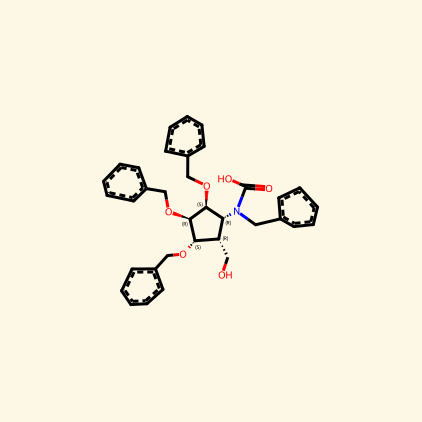 O=C(O)N(Cc1ccccc1)[C@@H]1[C@H](CO)[C@H](OCc2ccccc2)[C@@H](OCc2ccccc2)[C@H]1OCc1ccccc1